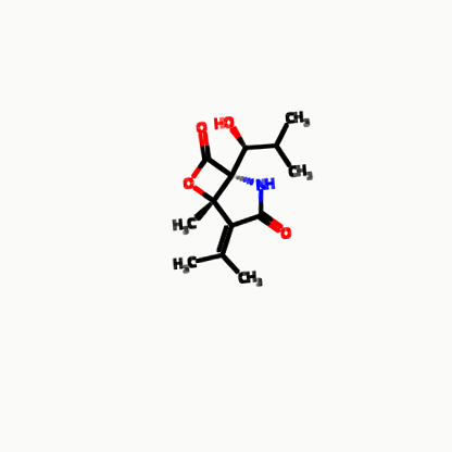 CC(C)=C1C(=O)N[C@@]2([C@@H](O)C(C)C)C(=O)O[C@@]12C